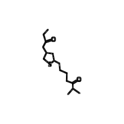 CCC(=O)CC1CSC(CCCCC(=O)C(C)C)C1